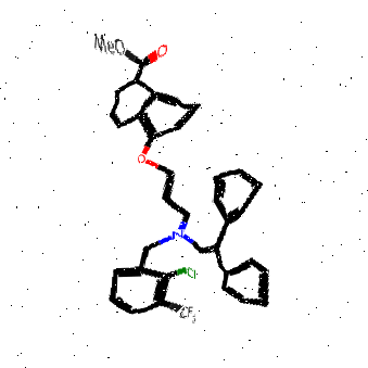 COC(=O)C1CCCc2c(OCCCN(Cc3cccc(C(F)(F)F)c3Cl)CC(c3ccccc3)c3ccccc3)cccc21